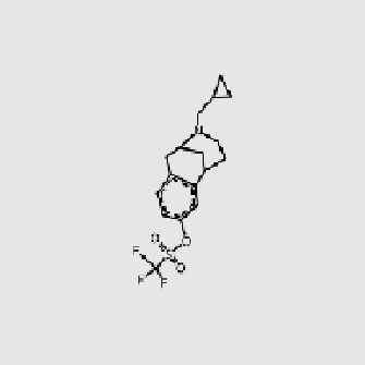 O=S(=O)(Oc1ccc2c(c1)C1CCN(CC3CC3)C(C2)C1)C(F)(F)F